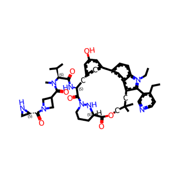 CCc1ccncc1-c1c2c3cc(ccc3n1CC)-c1cc(O)cc(c1)C[C@H](NC(=O)[C@H](C(C)C)N(C)C(=O)C1CN(C(=O)[C@@H]3CN3)C1)C(=O)N1CCC[C@H](N1)C(=O)OCC(C)(C)C2